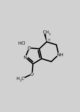 COc1noc2c1CNC[C@@H]2C.Cl